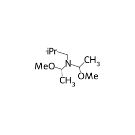 COC(C)N(C[C](C)C)C(C)OC